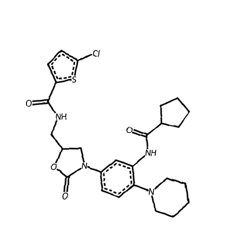 O=C(NCC1CN(c2ccc(N3CCCCC3)c(NC(=O)C3CCCC3)c2)C(=O)O1)c1ccc(Cl)s1